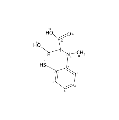 CN(c1ccccc1S)C(CO)C(=O)O